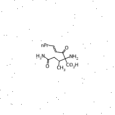 CCCC=CC(=O)C(N)(C(=O)O)C(C)CC(N)=O